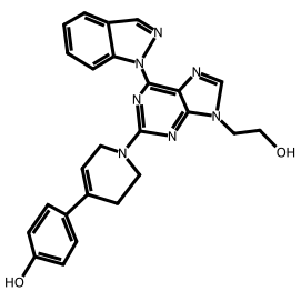 OCCn1cnc2c(-n3ncc4ccccc43)nc(N3CC=C(c4ccc(O)cc4)CC3)nc21